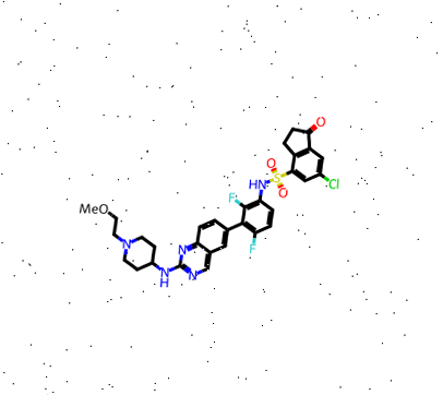 COCCN1CCC(Nc2ncc3cc(-c4c(F)ccc(NS(=O)(=O)c5cc(Cl)cc6c5CCC6=O)c4F)ccc3n2)CC1